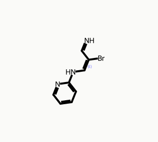 N=C/C(Br)=C\Nc1ccccn1